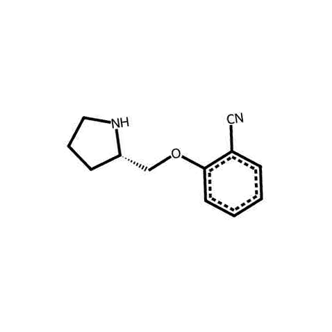 N#Cc1ccccc1OC[C@@H]1CCCN1